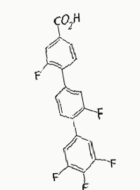 O=C(O)c1ccc(-c2ccc(-c3cc(F)c(F)c(F)c3)c(F)c2)c(F)c1